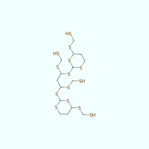 SCSC1CCSC(SC(CC(SCS)SC2SCCC(SCS)S2)SCS)S1